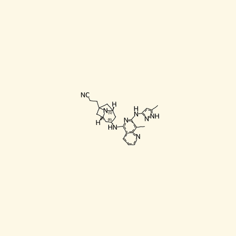 Cc1cc(Nc2nc(N[C@H]3C[C@@H]4CC5(CCC#N)C[C@H](C3)N45)c3cccnc3c2C)n[nH]1